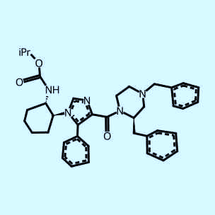 CC(C)OC(=O)N[C@H]1CCCC[C@@H]1n1cnc(C(=O)N2CCN(Cc3ccccc3)C[C@H]2Cc2ccccc2)c1-c1ccccc1